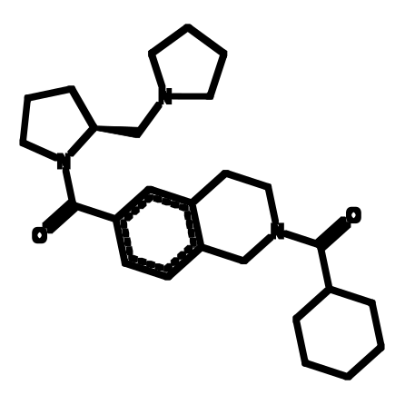 O=C(C1CCCCC1)N1CCc2cc(C(=O)N3CCC[C@H]3CN3CCCC3)ccc2C1